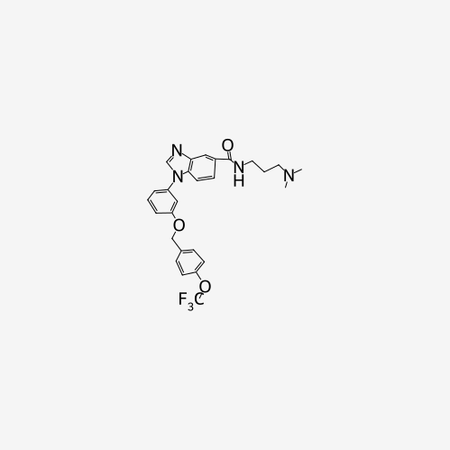 CN(C)CCCNC(=O)c1ccc2c(c1)ncn2-c1cccc(OCc2ccc(OC(F)(F)F)cc2)c1